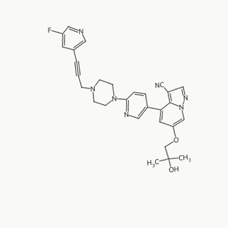 CC(C)(O)COc1cc(-c2ccc(N3CCN(CC#Cc4cncc(F)c4)CC3)nc2)c2c(C#N)cnn2c1